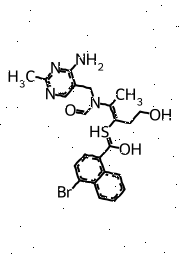 C/C(=C(CCO)/[SH]=C(\O)c1ccc(Br)c2ccccc12)N(C=O)Cc1cnc(C)nc1N